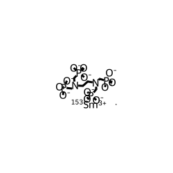 O=P([O-])([O-])CN(CCN(CP(=O)([O-])[O-])CP(=O)([O-])[O-])CP(=O)([O-])[O-].[153Sm+3]